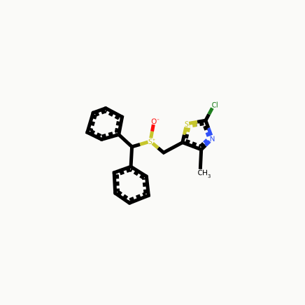 Cc1nc(Cl)sc1C[S+]([O-])C(c1ccccc1)c1ccccc1